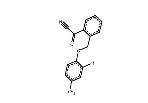 Cc1ccc(OCc2ccccc2C(=O)C#N)c(Cl)c1